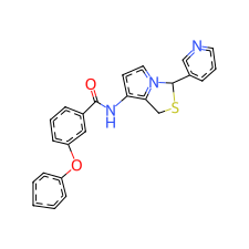 O=C(Nc1ccn2c1CSC2c1cccnc1)c1cccc(Oc2ccccc2)c1